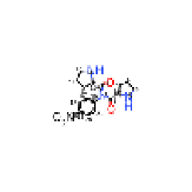 O=C([C@@H]1CCCN1)N(C(=O)[C@@H]1CCCN1)c1ccc([N+](=O)[O-])cc1